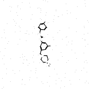 CCS(=O)(=O)N1CCN(Cc2cc(F)cc(NC(=O)Nc3ccc(F)cc3)c2)CC1